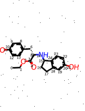 CCOC(=O)[C@H](Cc1ccc(O)cc1)NC1CCc2cc(O)ccc21